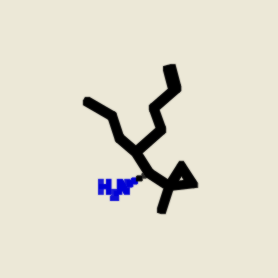 C=CCCC(CCC)[C@@H](N)C1(C)CC1